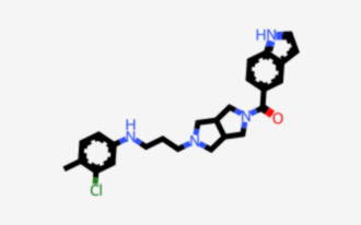 Cc1ccc(NCCCN2CC3CN(C(=O)c4ccc5[nH]ccc5c4)CC3C2)cc1Cl